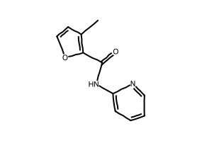 Cc1ccoc1C(=O)Nc1ccccn1